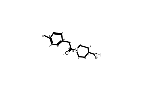 Cc1ccc(CC(=O)N2CCC(O)CC2)cc1